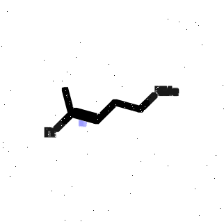 CC/C(C)=C/CCNC